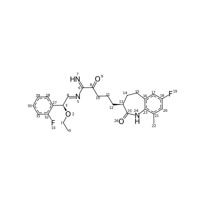 CCO[C@H](/C=N/C(=N)C(=O)CCC[C@H]1CCc2cc(F)cc(C)c2NC1=O)c1ccccc1F